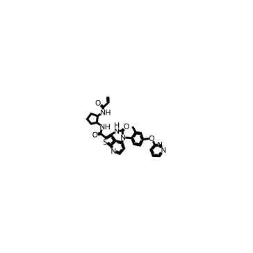 C=CC(=O)NC1CCCC1NC(=O)c1sc2nccc3c2c1NC(=O)N3c1ccc(Oc2cccnn2)cc1C